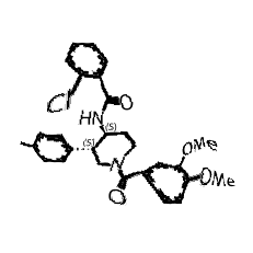 COc1ccc(C(=O)N2CC[C@H](NC(=O)c3ccccc3Cl)[C@@H](c3ccc(C)cc3)C2)cc1OC